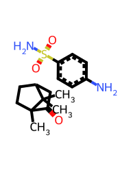 CC12CCC(CC1=O)C2(C)C.Nc1ccc(S(N)(=O)=O)cc1